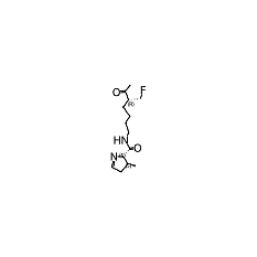 CC(=O)[C@H](CF)CCCCNC(=O)[C@H]1N=CC[C@@H]1C